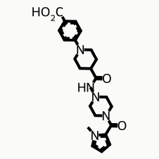 Cn1cccc1C(=O)N1CCN(NC(=O)C2CCN(c3ccc(C(=O)O)cc3)CC2)CC1